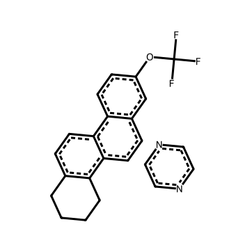 FC(F)(F)Oc1ccc2c(ccc3c4c(ccc32)CCCC4)c1.c1cnccn1